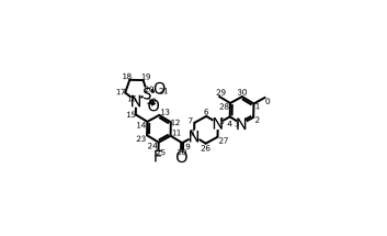 Cc1cnc(N2CCN(C(=O)c3ccc(CN4CCCS4(=O)=O)cc3F)CC2)c(C)c1